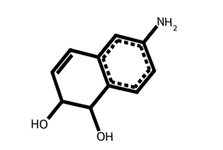 Nc1ccc2c(c1)C=CC(O)C2O